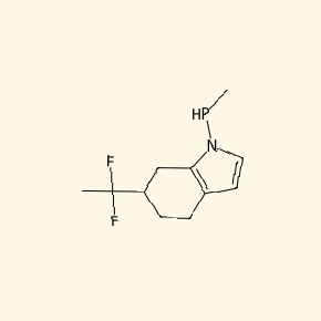 CPn1ccc2c1CC(C(C)(F)F)CC2